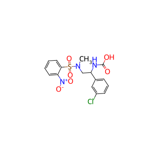 CN(CC(NC(=O)O)c1cccc(Cl)c1)S(=O)(=O)c1ccccc1[N+](=O)[O-]